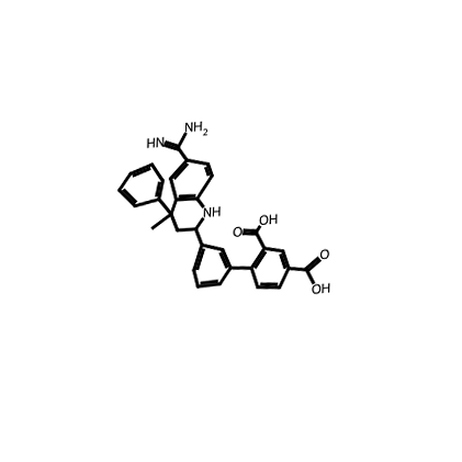 CC1(c2ccccc2)CC(c2cccc(-c3ccc(C(=O)O)cc3C(=O)O)c2)Nc2ccc(C(=N)N)cc21